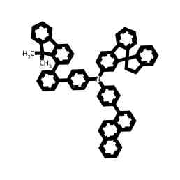 CC1(C)c2ccccc2-c2cccc(-c3ccccc3-c3ccc(N(c4ccc(-c5cccc6c5ccc5ccccc56)cc4)c4ccc5c(c4)C4(CCc6ccccc64)c4ccccc4-5)cc3)c21